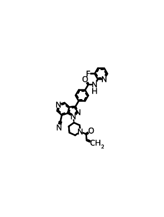 C=CC(=O)N1CCC[C@@H](n2nc(-c3ccc(C(=O)Nc4ncccc4F)cc3)c3cncc(C#N)c32)C1